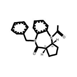 CC(=O)N1c2ccccc2N(Cc2ccccc2)C(=O)[C@H]2CCC[C@H]21